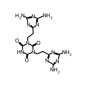 Nc1nc(N)nc(CCn2c(=O)[nH]c(=O)n(CCc3nc(N)nc(N)n3)c2=O)n1